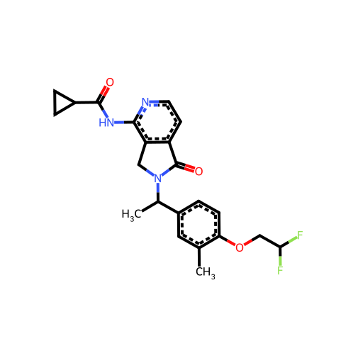 Cc1cc(C(C)N2Cc3c(ccnc3NC(=O)C3CC3)C2=O)ccc1OCC(F)F